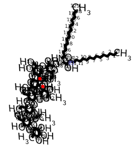 CCCCCCCCCCCCC/C=C/[C@@H](O)[C@H](CO[C@@H]1OC(CO)[C@@H](O[C@@H]2OC(CO)[C@H](O)[C@H](O[C@@H]3OC(CO)[C@@H](O[C@@H]4OC(CO)[C@H](O)[C@H](O[C@H]5OC(CO)[C@H](O)[C@H](O[C@@H]6OC(CO)[C@H](O)[C@H](O)C6O[C@H]6OC(C)[C@@H](O)C(O)[C@@H]6O)C5NC(C)=O)C4O[C@H]4OC(C)[C@@H](O)C(O)[C@@H]4O)[C@H](O)C3NC(C)=O)C2O)[C@H](O)C1O)NC(=O)CCCCCCCCCCCCCCC